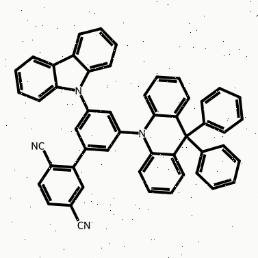 N#Cc1ccc(C#N)c(-c2cc(N3c4ccccc4C(c4ccccc4)(c4ccccc4)c4ccccc43)cc(-n3c4ccccc4c4ccccc43)c2)c1